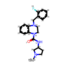 CC(C)(C)N1CCC(NC(=O)N2CCN(Cc3ccccc3F)c3ccccc32)C1